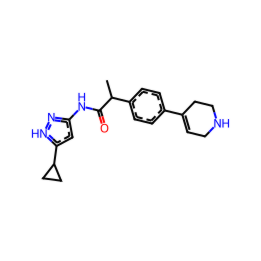 CC(C(=O)Nc1cc(C2CC2)[nH]n1)c1ccc(C2=CCNCC2)cc1